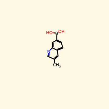 Cc1cnc2cc(B(O)O)ccc2c1